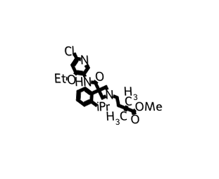 CCOc1cc(Cl)ncc1NC(=O)C1(c2ccccc2C(C)C)CN(CCC(C)(C)C(=O)OC)C1